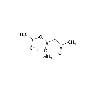 CC(=O)CC(=O)OC(C)C.[AlH3]